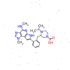 CNc1nc2[nH]c(-c3ccccc3CC3CN(C(=O)O)CCN3C(C)C)cc2c2c1ncn2C